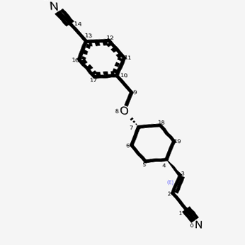 N#C/C=C/[C@H]1CC[C@H](OCc2ccc(C#N)cc2)CC1